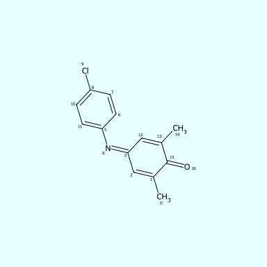 CC1=CC(=Nc2ccc(Cl)cc2)C=C(C)C1=O